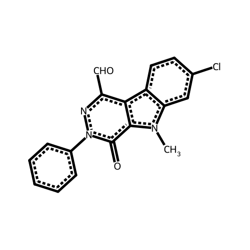 Cn1c2cc(Cl)ccc2c2c(C=O)nn(-c3ccccc3)c(=O)c21